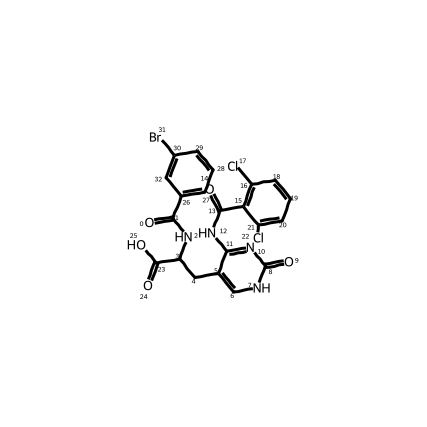 O=C(NC(Cc1c[nH]c(=O)nc1NC(=O)c1c(Cl)cccc1Cl)C(=O)O)c1cccc(Br)c1